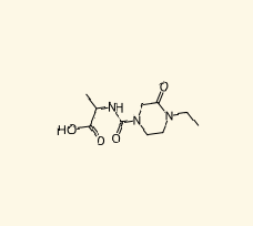 CCN1CCN(C(=O)NC(C)C(=O)O)CC1=O